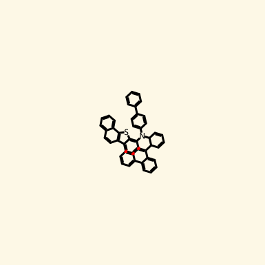 C1=CC(c2cc3ccccc3c3ccccc23)C(N(c2ccc(-c3ccccc3)cc2)c2cccc3c2sc2c4ccccc4ccc32)C=C1